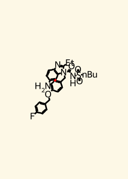 CCCCS(=O)(=O)NC(=O)[N+]1(Cc2ccc(OCc3ccc(F)cc3)cc2)C(CC)=Nc2ccc(N)cc21